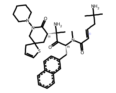 CN(C(=O)/C=C/CC(C)(C)N)[C@H](Cc1ccc2ccccc2c1)C(=O)C(C)(N)[C@@H]1CC2(CC=CS2)CN(N2CCCCC2)C1=O